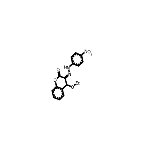 CCOC1C(=NNc2ccc([N+](=O)[O-])cc2)C(=O)Oc2ccccc21